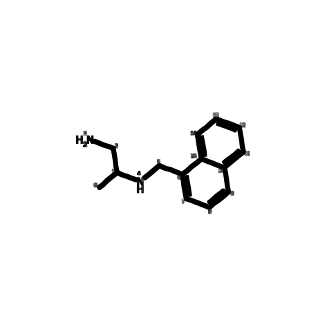 CC(CN)NCc1cccc2ccccc12